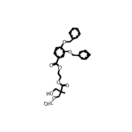 CC(CO)(COC=O)C(=O)OCCOC(=O)c1ccc(OCc2ccccc2)c(OCc2ccccc2)c1